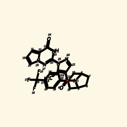 Cc1c(C(=O)N2C3CCC2CN(c2ccc(C(F)(F)F)cc2)C3)cnn1-c1nn2cccc2c(=O)[nH]1